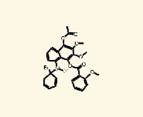 COc1ccccc1C(=O)Oc1c(OC)c(OC)c(OC(C)=O)c2cccc([S+]([O-])C3(Br)C=CC=CC3)c12